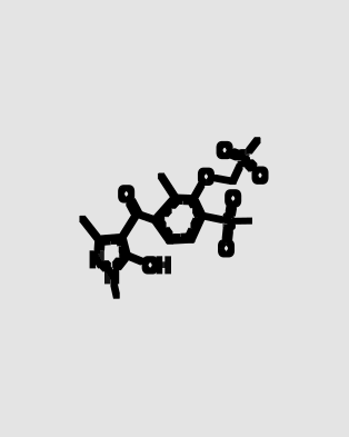 Cc1nn(C)c(O)c1C(=O)c1ccc(S(C)(=O)=O)c(OCS(C)(=O)=O)c1C